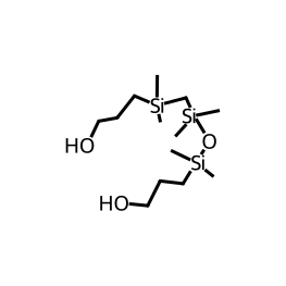 C[Si](C)(CCCO)C[Si](C)(C)O[Si](C)(C)CCCO